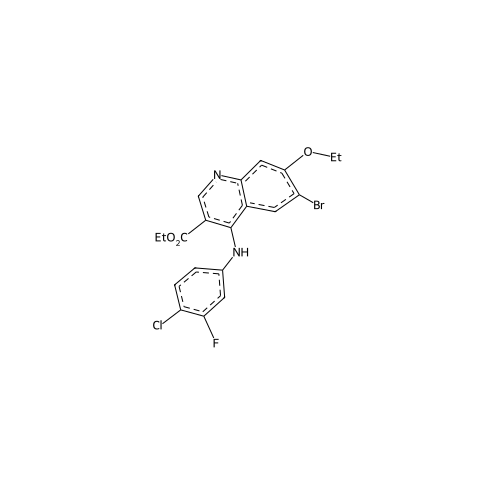 CCOC(=O)c1cnc2cc(OCC)c(Br)cc2c1Nc1ccc(Cl)c(F)c1